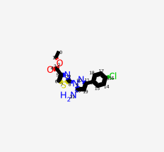 CCOC(=O)c1csc(-n2nc(-c3ccc(Cl)cc3)cc2N)n1